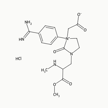 CNC(CN1CC[N+](CC(=O)[O-])(c2ccc(C(=N)N)cc2)C1=O)C(=O)OC.Cl